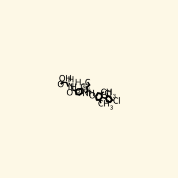 CC[C@H](C)[C@@H](COc1cc(C)c(-c2ccc(Cl)cc2Cl)c(C)c1)Nc1ccc(C(=O)NCCC(=O)O)cc1